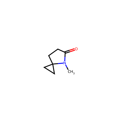 CN1C(=O)CCC12CC2